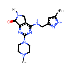 CC(=O)N1CCN(c2nc(NCc3cc(C(C)(C)C)[nH]n3)c3c(n2)C(=O)N(C(C)C)C3)CC1